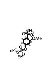 CCCSP(=O)(OCC)Oc1ccc(S(C)(=O)=O)c(OC)c1